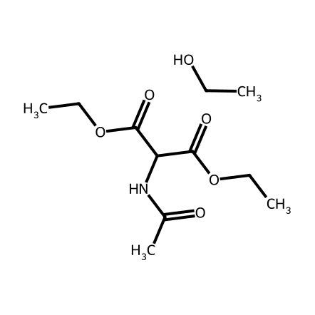 CCO.CCOC(=O)C(NC(C)=O)C(=O)OCC